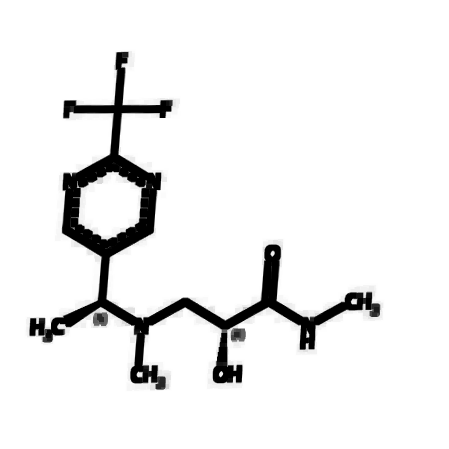 CNC(=O)[C@H](O)CN(C)[C@@H](C)c1cnc(C(F)(F)F)nc1